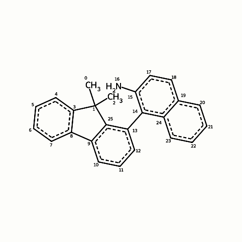 CC1(C)c2ccccc2-c2cccc(-c3c(N)ccc4ccccc34)c21